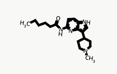 CCCCCC(=O)Nc1ccc2[nH]cc(C3CCN(C)CC3)c2n1